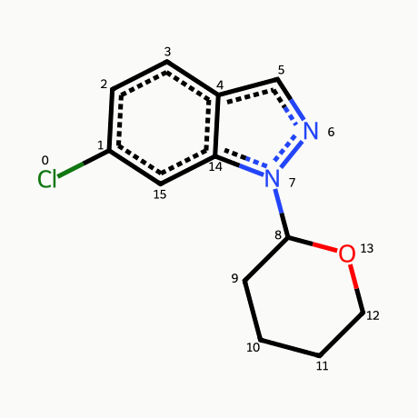 Clc1ccc2cnn(C3CCCCO3)c2c1